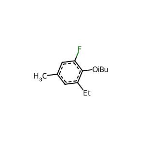 CCc1cc(C)cc(F)c1OCC(C)C